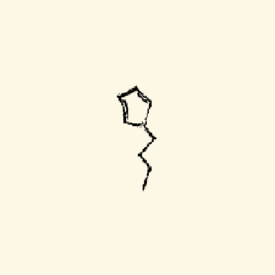 CCCCn1c[c]cc1